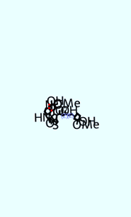 COc1cc(/C=C/C(O)=C/C(=O)C2C3CSCN3C3(C(=O)Nc4ccc([N+](=O)[O-])cc43)C2c2ccc(O)c(OC)c2)ccc1O